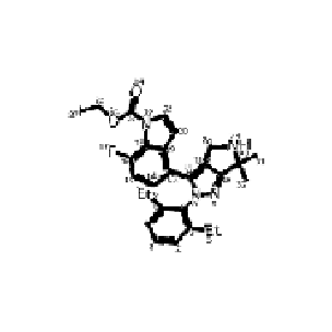 CCc1cccc(CC)c1-n1nc2c(c1-c1ccc(F)c3c1ccn3C(=O)OCI)CNC2(C)C